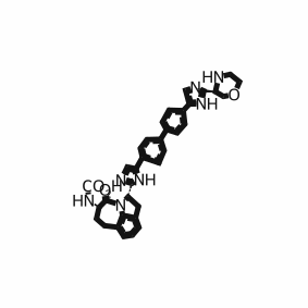 O=C(O)N[C@H]1CCc2cccc3c2N(C1=O)[C@H](c1ncc(-c2ccc(-c4ccc(-c5cnc([C@@H]6COCCN6)[nH]5)cc4)cc2)[nH]1)C3